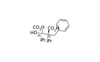 CC(C)[C@](O)(C(=O)O)[C@@](Cc1ccccc1)(C(=O)O)C(C)C